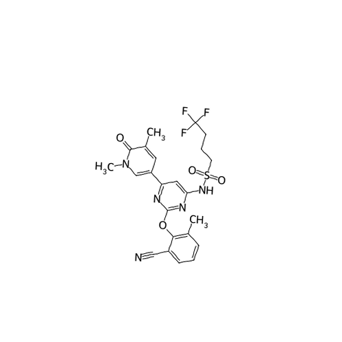 Cc1cccc(C#N)c1Oc1nc(NS(=O)(=O)CCCC(F)(F)F)cc(-c2cc(C)c(=O)n(C)c2)n1